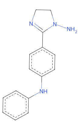 NN1CCN=C1c1ccc(Nc2ccccc2)cc1